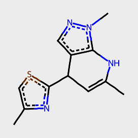 CC1=CC(c2nc(C)cs2)c2cnn(C)c2N1